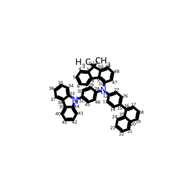 CC1(C)c2ccccc2-c2c(N(c3ccc(-c4cccc5ccccc45)cc3)c3ccc(-n4c5ccccc5c5ccccc54)cc3)cccc21